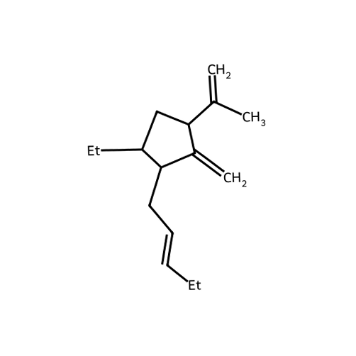 C=C(C)C1CC(CC)C(C/C=C/CC)C1=C